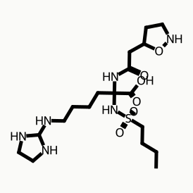 CCCCS(=O)(=O)NC(CCCCNC1NCCN1)(NC(=O)CC1CCNO1)C(=O)O